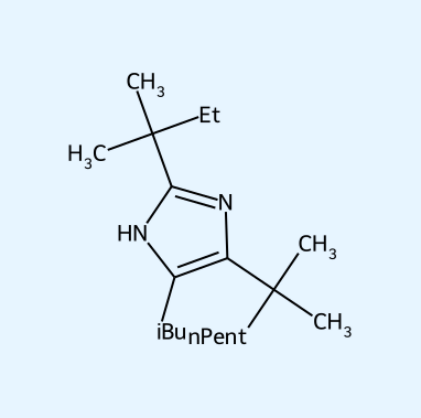 CCCCCC(C)(C)c1nc(C(C)(C)CC)[nH]c1C(C)CC